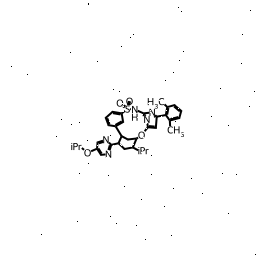 Cc1cccc(C)c1-c1cc2nc(n1)NS(=O)(=O)c1cccc(c1)C1CC(O2)C(C(C)C)CC1c1ncc(OC(C)C)cn1